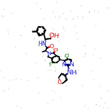 Cc1cccc(C(CO)NC(=O)C(C)N2Cc3c(F)cc(-c4nc(NC5CCOCC5)ncc4Cl)cc3C2=O)c1